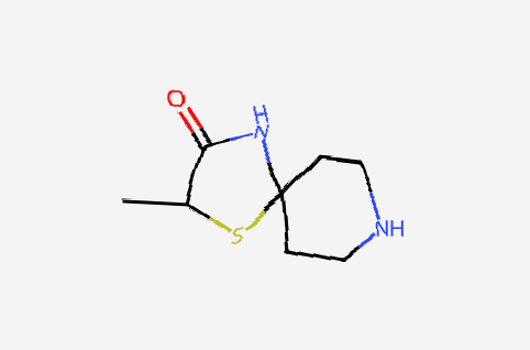 CC1SC2(CCNCC2)NC1=O